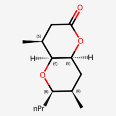 CCC[C@H]1O[C@@H]2[C@H](C[C@H]1C)OC(=O)C[C@@H]2C